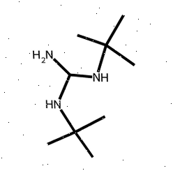 CC(C)(C)NC(N)NC(C)(C)C